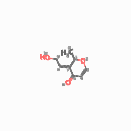 CC1OC=CC(=O)C1=CCO